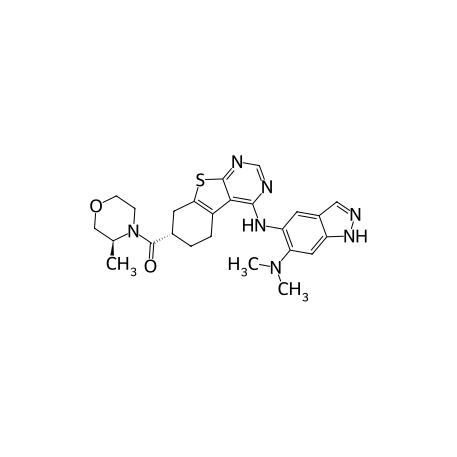 C[C@H]1COCCN1C(=O)[C@H]1CCc2c(sc3ncnc(Nc4cc5cn[nH]c5cc4N(C)C)c23)C1